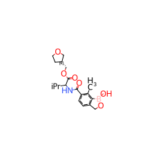 Cc1c(C(=O)NC(C(=O)OC[C@@H]2CCOC2)C(C)C)ccc2c1B(O)OC2